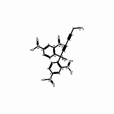 NCC#CC#CC(N)(c1ccc([N+](=O)[O-])cc1[N+](=O)[O-])c1ccc([N+](=O)[O-])cc1[N+](=O)[O-]